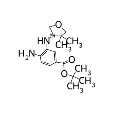 CC(C)(C)OC(=O)c1ccc(N)c(N[C@@H]2COCC2(C)C)c1